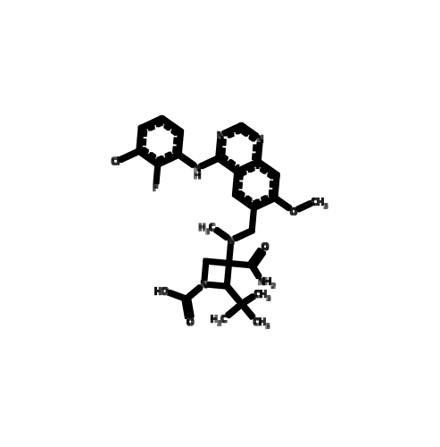 COc1cc2ncnc(Nc3cccc(Cl)c3F)c2cc1CN(C)C1(C(N)=O)CN(C(=O)O)C1C(C)(C)C